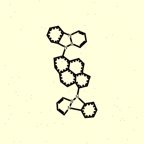 C1=CB2N(C=C1)c1ccccc1N2c1ccc2ccc3c(N4B5C=CC=CN5c5ccccc54)ccc4ccc1c2c43